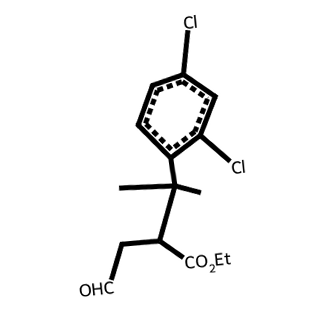 CCOC(=O)C(CC=O)C(C)(C)c1ccc(Cl)cc1Cl